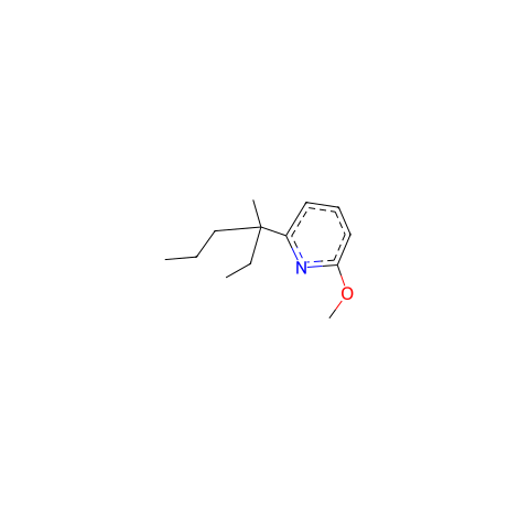 CCCC(C)(CC)c1cccc(OC)n1